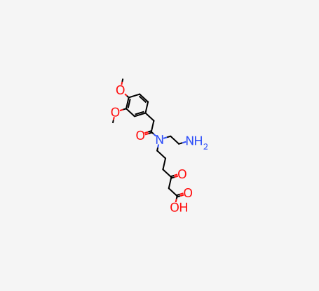 COc1ccc(CC(=O)N(CCN)CCCC(=O)CC(=O)O)cc1OC